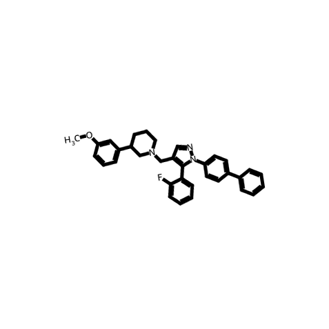 COc1cccc(C2CCCN(Cc3cnn(-c4ccc(-c5ccccc5)cc4)c3-c3ccccc3F)C2)c1